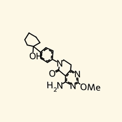 COc1nc(N)c2c(n1)CCN(c1ccc(C3(O)CCCCC3)cc1)C2=O